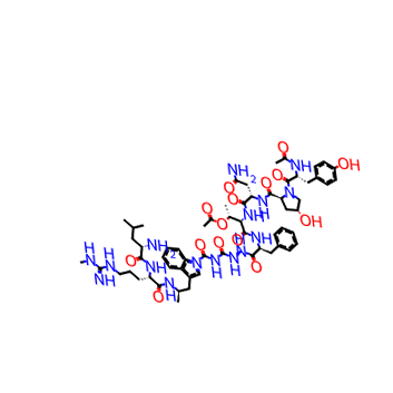 CNC(=N)NCCC[C@H](NC(=O)[C@@H](N)CC(C)C)C(=O)N[C@H](C)Cc1cn(C(=O)NC(=O)NNC(=O)[C@H](Cc2ccccc2)NC(=O)[C@@H](NC(=O)[C@H](CC(N)=O)NC(=O)[C@@H]2C[C@@H](O)CN2C(=O)[C@@H](Cc2ccc(O)cc2)NC(C)=O)[C@@H](C)OC(C)=O)c2ccccc12